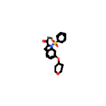 COC(=O)c1cc2ccc(OC3CCOCC3)cc2n1S(=O)(=O)c1ccccc1